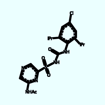 CC(=O)Nc1cncc(S(=O)(=O)NC(=O)Nc2c(C(C)C)cc(Cl)cc2C(C)C)n1